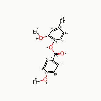 CCOc1ccc(C(=O)Oc2ccc(CC)cc2OCC)cc1